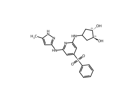 Cc1cc(Nc2cc(S(=O)(=O)c3ccccc3)cc(NC3C[C@H](O)[C@@H](O)C3)n2)n[nH]1